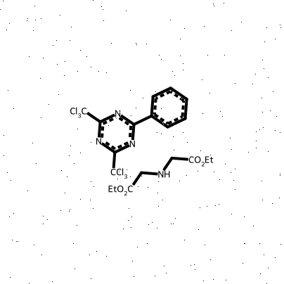 CCOC(=O)CNCC(=O)OCC.ClC(Cl)(Cl)c1nc(-c2ccccc2)nc(C(Cl)(Cl)Cl)n1